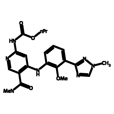 CCCOC(=O)Nc1cc(Nc2cccc(-c3ncn(C)n3)c2OC)c(C(=O)NC)cn1